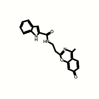 Cc1nc(CCNC(=O)c2cc3ccccc3[nH]2)oc2cc(=O)ccc1-2